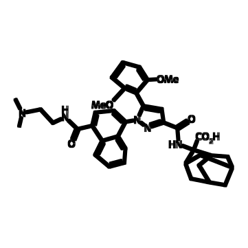 COc1cccc(OC)c1-c1cc(C(=O)NC2(C(=O)O)C3CC4CC(C3)CC2C4)nn1-c1ccc(C(=O)NCCN(C)C)c2ccccc12